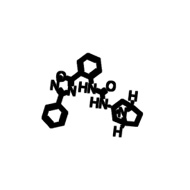 CN1[C@@H]2CC[C@H]1C[C@@H](NC(=O)Nc1ccccc1-c1nc(-c3ccccc3)no1)C2